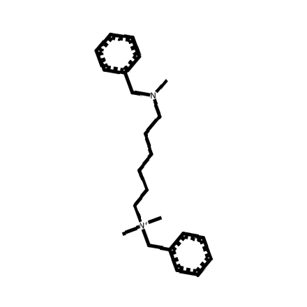 CN(CCCCCC[N+](C)(C)Cc1ccccc1)Cc1ccccc1